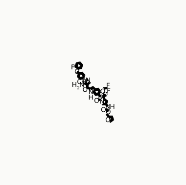 Cc1cc(Oc2ccccc2F)ccc1-n1ncc(C(=O)c2cc3cc(OCC(F)F)c(N4C(=O)C5CC(NC(=O)OCc6ccco6)CN5C4=O)cc3[nH]2)c1N